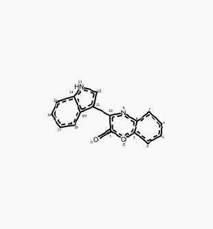 O=c1oc2ccccc2nc1-c1c[nH]c2ccccc12